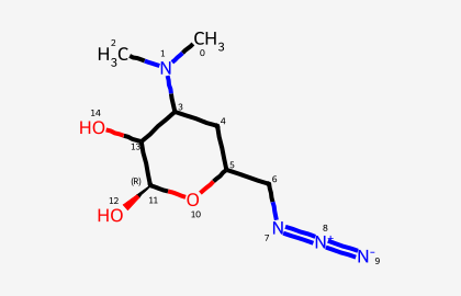 CN(C)C1CC(CN=[N+]=[N-])O[C@@H](O)C1O